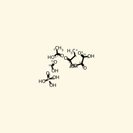 CC(=O)O.CCC(=O)O.O=C(O)C(=O)O.O=CO.O=P(O)(O)O